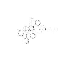 N#Cc1cc2c(cnn2C(c2ccccc2)(c2ccccc2)c2ccccc2)nc1-c1c(F)ccc2c1CCN(C(=O)O)C2